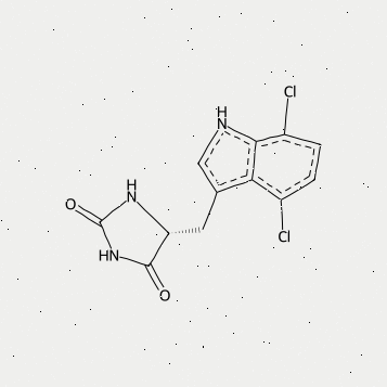 O=C1NC(=O)[C@@H](Cc2c[nH]c3c(Cl)ccc(Cl)c23)N1